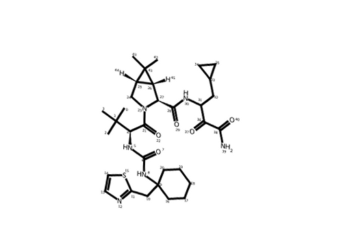 CC(C)(C)[C@H](NC(=O)NC1(Cc2nccs2)CCCCC1)C(=O)N1C[C@H]2[C@@H]([C@H]1C(=O)NC(CC1CC1)C(=O)C(N)=O)C2(C)C